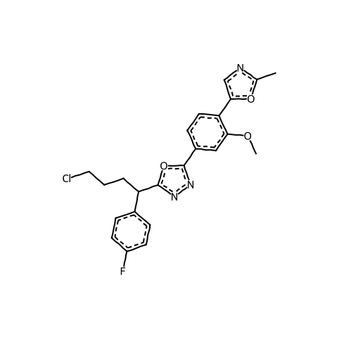 COc1cc(-c2nnc(C(CCCCl)c3ccc(F)cc3)o2)ccc1-c1cnc(C)o1